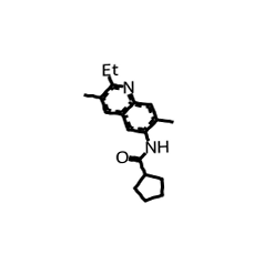 CCc1nc2cc(C)c(NC(=O)C3CCCC3)cc2cc1C